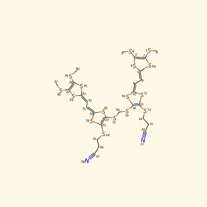 CSC1=C(SC)SC(=CC=C2SC(SCCC#N)=C(SCSC3=C(SCCC#N)SC(=CC=C4SC(SC)=C(SC)S4)S3)S2)S1